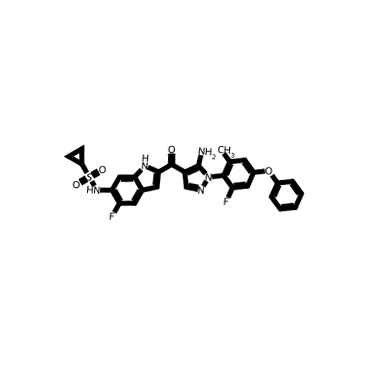 Cc1cc(Oc2ccccc2)cc(F)c1-n1ncc(C(=O)c2cc3cc(F)c(NS(=O)(=O)C4CC4)cc3[nH]2)c1N